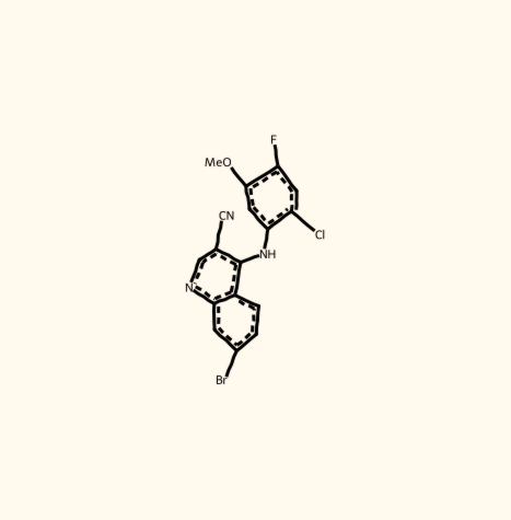 COc1cc(Nc2c(C#N)cnc3cc(Br)ccc23)c(Cl)cc1F